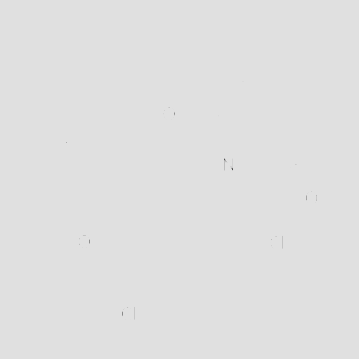 O=C1C2=CC(CCC2)C(=O)N1c1cc(OC2CC2)c(Cl)cc1Cl